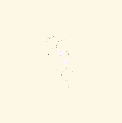 CC1=CC(C)=C(N2C=CN(C3=C(C)C=C(C)C(C)C3C)C2)[C@@H](C)C1